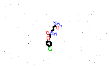 NC(=O)CCCNC(=O)COc1ccc(Cl)cc1